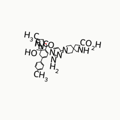 Cc1ccc(C2=CC=C(C(Oc3cc(N4CCC5(CC4)CN[C@H](C(=O)O)C5)nc(N)n3)C(F)(F)F)C(CO)(n3ccc(C)n3)C2)cc1